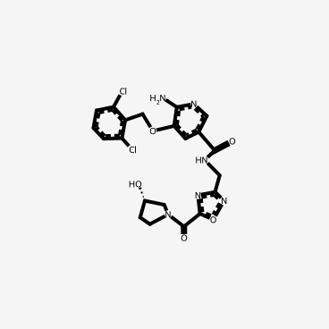 Nc1ncc(C(=O)NCc2noc(C(=O)N3CC[C@H](O)C3)n2)cc1OCc1c(Cl)cccc1Cl